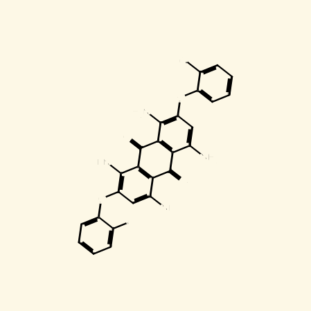 Nc1cc(Oc2ccccc2Cl)c(N)c2c1C(=O)c1c(N)cc(Oc3ccccc3Cl)c(N)c1C2=O